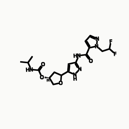 CC(C)NC(=O)O[C@H]1COC(c2cc(NC(=O)c3ccnn3CC(F)F)n[nH]2)C1